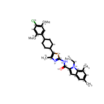 COc1cc(C2CCC(c3sc(NC(=O)c4cc5cc(C)cc(C)c5n4COC(C)=O)nc3C)CC2)c(OC)cc1Cl